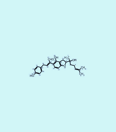 CC(C)=CCCC(C)(O)C1Cc2c(ccc(C(C=O)=CCc3ccc(O)cc3)c2O)O1